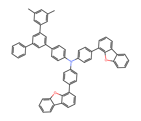 Cc1cc(C)cc(-c2cc(-c3ccccc3)cc(-c3ccc(N(c4ccc(-c5cccc6c5oc5ccccc56)cc4)c4ccc(-c5cccc6c5oc5ccccc56)cc4)cc3)c2)c1